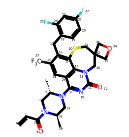 C=CC(=O)N1C[C@H](C)N(c2nc(=O)n3c4c(c(Cc5ccc(F)cc5F)c(C(F)(F)F)cc24)SCC2(COC2)C3)C[C@H]1C